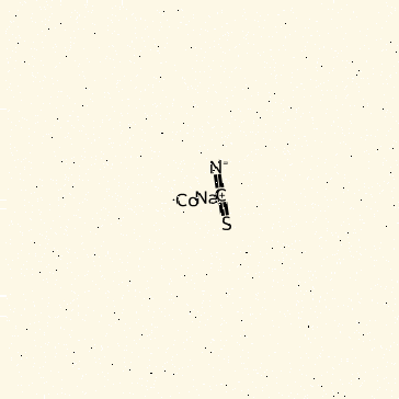 [Co].[N-]=C=S.[Na+]